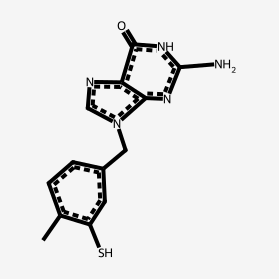 Cc1ccc(Cn2cnc3c(=O)[nH]c(N)nc32)cc1S